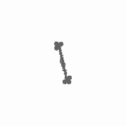 c1ccc(C(SCCCCSCCSCCOCCOCCSCCCSCCCSC(c2ccccc2)(c2ccccc2)c2ccccc2)(c2ccccc2)c2ccccc2)cc1